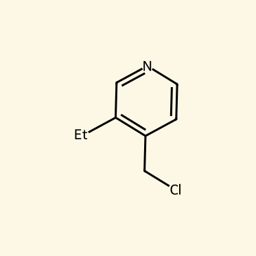 CCc1cnccc1CCl